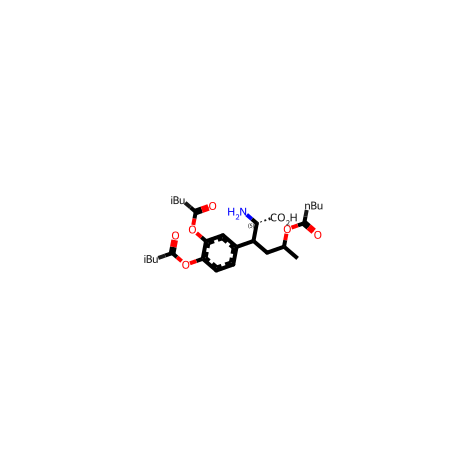 CCCCC(=O)OC(C)CC(c1ccc(OC(=O)C(C)CC)c(OC(=O)C(C)CC)c1)[C@H](N)C(=O)O